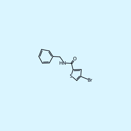 O=C(NCc1ccccc1)c1cc(Br)cs1